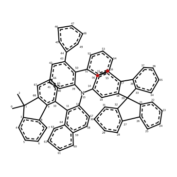 CC1(C)c2ccccc2-c2c(-c3c(N(c4ccc5c(c4)C4(c6ccccc6-c6ccccc64)c4ccccc4-5)c4cccc(-c5ccccc5)c4-c4ccccc4)ccc4ccccc34)cccc21